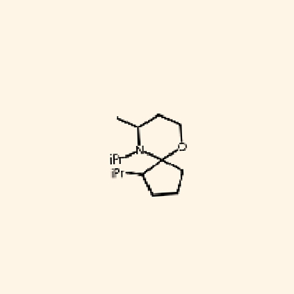 CC(C)C1CCCC12OCCC(C)N2C(C)C